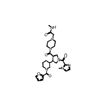 CNC(=O)CN1CCN(C(=O)C2CN(C(=O)c3nccn3C)CC2C2CCCN(C(=O)c3ccco3)C2)CC1